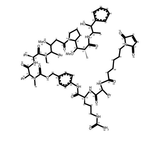 CCC(C)C(C(CC(=O)N1CCCC1C(OC)[C@@H](C)C(=O)NC(C)C(O)c1ccccc1)OC)N(C)C(=O)[C@@H](NC(=O)C(C(C)C)N(C)C(=O)OCc1ccc(NC(=O)[C@H](CCCNC(N)=O)NC(=O)C(NC(=O)CCCCCN2C(=O)C=CC2=O)C(C)C)cc1)C(C)C